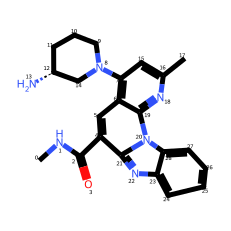 CNC(=O)c1cc2c(N3CCC[C@@H](N)C3)cc(C)nc2n2c1nc1ccccc12